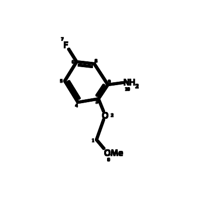 COCOc1ccc(F)cc1N